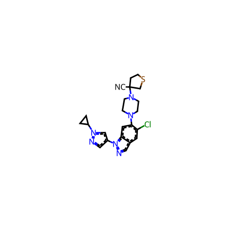 N#CC1(N2CCN(c3cc4c(cnn4-c4cnn(C5CC5)c4)cc3Cl)CC2)CCSC1